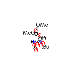 COCCCOc1cc(OC(C[C@H]2CN(C(=O)OC(C)(C)C)C[C@H]2CN(C(=O)OC2CCOCC2)C2CC2)C(C)C)ccc1OC